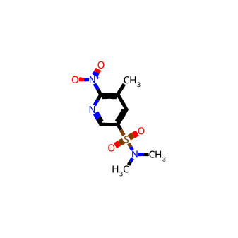 Cc1cc(S(=O)(=O)N(C)C)cnc1[N+](=O)[O-]